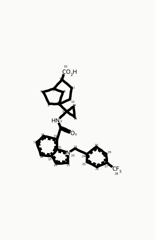 O=C(NC1(C23CCC(C2)C(C(=O)O)CC3)CC1)c1cccc2ccn(Cc3ccc(C(F)(F)F)cc3)c12